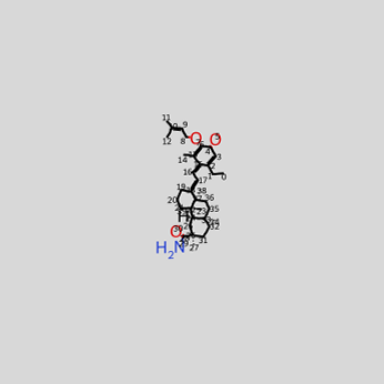 CCC1=CC(=O)C(OCC=C(C)C)=C(C)/C1=C/C=C1\CCC[C@@]2(C)[C@@H]3C[C@](C)(C(N)=O)CC[C@]3(C)CC[C@]12C